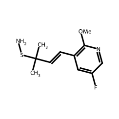 COc1ncc(F)cc1C=CC(C)(C)SN